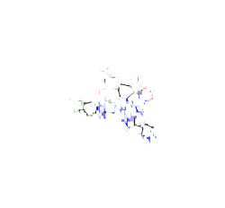 COc1ccc(CN(Cc2nc3cc(Cl)c(Cl)cc3n2COCC[Si](C)(C)C)c2nc(N3CCOCC3)nc3c(-c4ccnnc4)cnn23)cc1